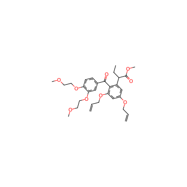 C=CCOc1cc(OCC=C)c(C(=O)c2ccc(OCCOC)c(OCCOC)c2)c(C(CC)C(=O)OC)c1